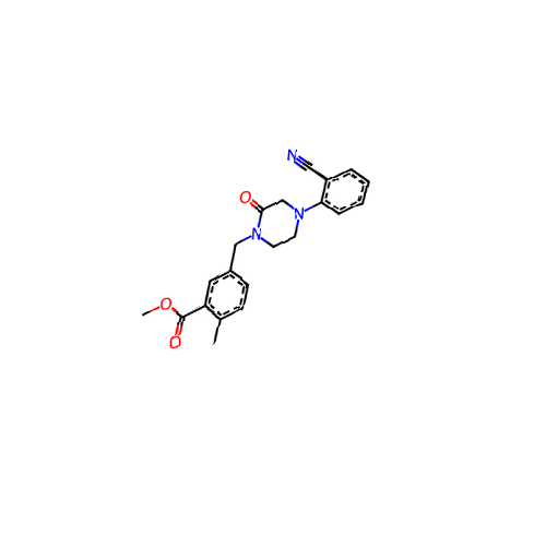 COC(=O)c1cc(CN2CCN(c3ccccc3C#N)CC2=O)ccc1C